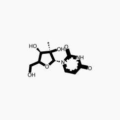 C[C@@]1(O)[C@H](O)C(CO)O[C@H]1n1ccc(=O)[nH]c1=O